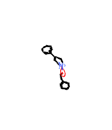 c1ccc(CO[n+]2ccc(-c3ccccc3)cc2)cc1